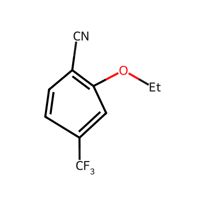 CCOc1cc(C(F)(F)F)ccc1C#N